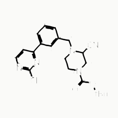 CC(C)(C)OC(=O)N1CCN(Cc2cccc(-c3ccnc(Cl)n3)c2)C(C#N)C1